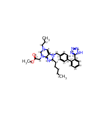 CCCCCC1N=C2C(=CN(CCC)CN2CC(=O)OC)N1Cc1ccc(-c2ccccc2-c2nnn[nH]2)cc1